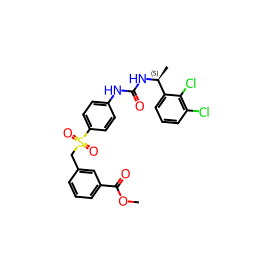 COC(=O)c1cccc(CS(=O)(=O)c2ccc(NC(=O)N[C@@H](C)c3cccc(Cl)c3Cl)cc2)c1